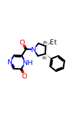 CC[C@H]1CN(C(=O)c2cncc(=O)[nH]2)C[C@H]1c1ccccc1